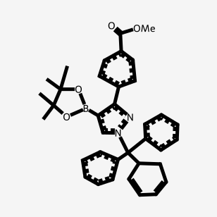 COC(=O)c1ccc(-c2nn(C(c3ccccc3)(c3ccccc3)C3C=CC=CC3)cc2B2OC(C)(C)C(C)(C)O2)cc1